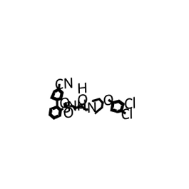 N#Cc1ccc(-c2ccccc2S(=O)(=O)NC[C@@H](O)CN2CCC(Oc3ccc(Cl)c(Cl)c3)CC2)cc1